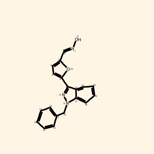 ON=Cc1ccc(-c2nn(Cc3ccccc3)c3ccccc23)o1